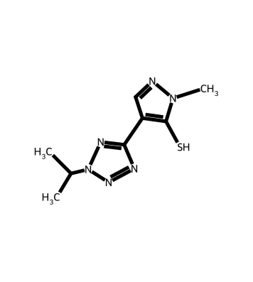 CC(C)n1nnc(-c2cnn(C)c2S)n1